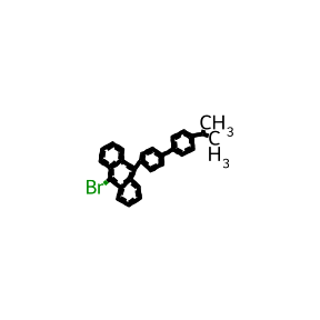 CC(C)c1ccc(-c2ccc(-c3c4ccccc4c(Br)c4ccccc34)cc2)cc1